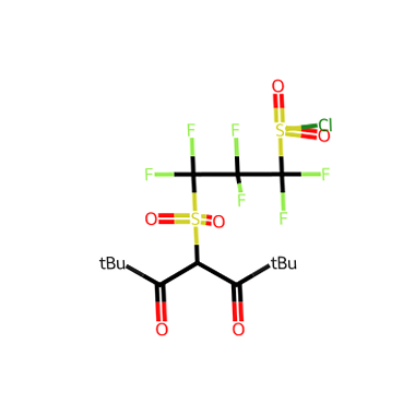 CC(C)(C)C(=O)C(C(=O)C(C)(C)C)S(=O)(=O)C(F)(F)C(F)(F)C(F)(F)S(=O)(=O)Cl